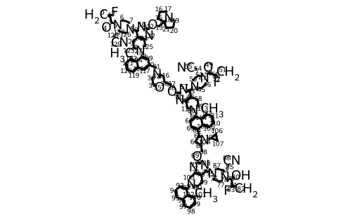 C=C(F)C(=O)N1CCN(c2nc(OCC34CCCN3CCC4)nc3c2CCN(c2cc(CN4CCOC(COc5nc6c(c(N7CCN(C(=O)C(=C)F)[C@@H](CC#N)C7)n5)CCN(c5ccc(C7CC(COc8nc9c(c(N%10CCN(C(O)C(=C)F)[C@@H](CC#N)C%10)n8)CCN(c8cccc%10cccc(C)c8%10)C9)N7C7CC7)c7cccc(C)c57)C6)C4)cc4cccc(C)c24)C3)C[C@@H]1CC#N